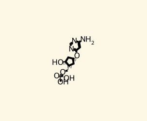 Nc1cc(O[C@@H]2C[C@H](COP(=O)(O)O)[C@@H](O)C2)ncn1